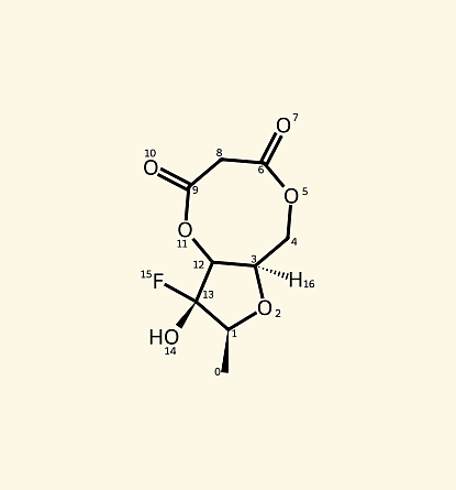 C[C@@H]1O[C@@H]2COC(=O)CC(=O)OC2[C@@]1(O)F